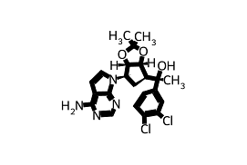 CC1(C)O[C@@H]2[C@H](O1)[C@@H]([C@](C)(O)c1ccc(Cl)c(Cl)c1)C[C@H]2n1ccc2c(N)ncnc21